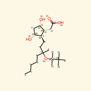 CCCCCC(C)(CC[C@@H]1[C@@H](CC(=O)O)[C@@H](O)C[C@H]1O)O[Si](C)(C)C(C)(C)C